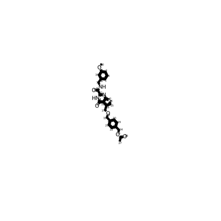 COc1cccc(CNC(=O)c2nc3scc(COCc4ccc(COC(C)=O)cc4)c3c(=O)[nH]2)c1